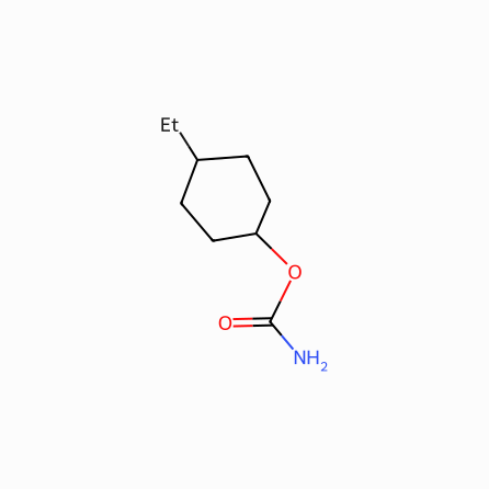 CCC1CCC(OC(N)=O)CC1